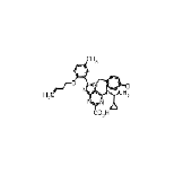 C=CCCOc1ccc(C)cc1-c1nc2nc(C(=O)O)nc(NC(C)C3CC3)c2n1Cc1ccc(Cl)cc1